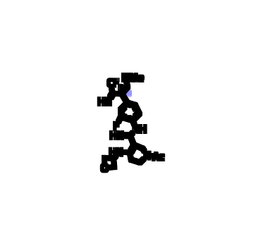 CN/C=C(\C(=N)C(F)(F)F)c1ccc(NC(=N)C2=C(NC3COC3)CCN(C(C)=O)C2)c(F)c1